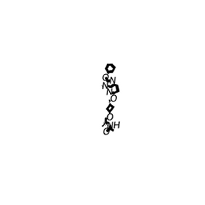 CC(=O)N[C@@H](C)CO[C@H]1C[C@H](COc2ccc3nc(Oc4ccccc4)n(C)c3n2)C1